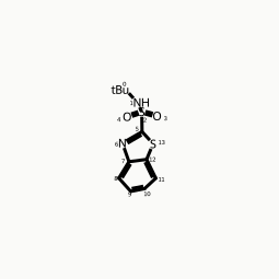 CC(C)(C)NS(=O)(=O)c1nc2ccccc2s1